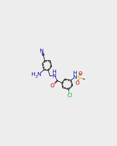 CS(=O)(=O)Nc1cc(Cl)cc(C(=O)NCc2ccc(C#N)cc2N)c1